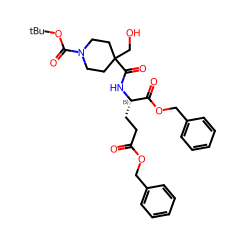 CC(C)(C)OC(=O)N1CCC(CO)(C(=O)N[C@@H](CCC(=O)OCc2ccccc2)C(=O)OCc2ccccc2)CC1